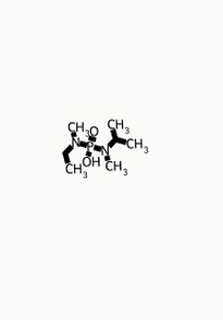 CCN(C)P(=O)(O)N(C)C(C)C